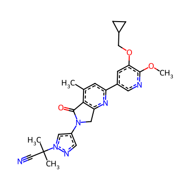 COc1ncc(-c2cc(C)c3c(n2)CN(c2cnn(C(C)(C)C#N)c2)C3=O)cc1OCC1CC1